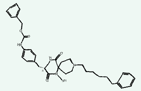 CCCN1C(=O)[C@H](Cc2ccc(NC(=O)OCc3ccccc3)cc2)NC(=O)C12CCN(CCCCCCc1ccccc1)CC2